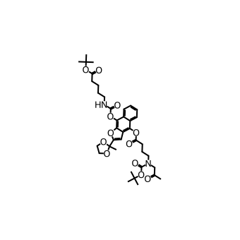 CC(=O)CN(CCCC(=O)Oc1c2ccccc2c(OC(=O)NCCCCC(=O)OC(C)(C)C)c2oc(C3(C)OCCO3)cc12)C(=O)OC(C)(C)C